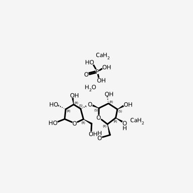 O.O=P(O)(O)O.OC[C@H]1O[C@@H](O[C@H]2[C@H](O)[C@@H](O)C(O)O[C@@H]2CO)[C@H](O)[C@@H](O)[C@H]1O.[CaH2].[CaH2]